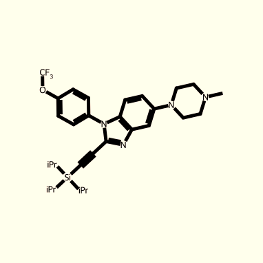 CC(C)[Si](C#Cc1nc2cc(N3CCN(C)CC3)ccc2n1-c1ccc(OC(F)(F)F)cc1)(C(C)C)C(C)C